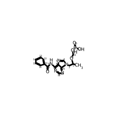 CC(Cn1cnc2c(NC(=O)c3ccccc3)ncnc21)OCO[PH](=O)O